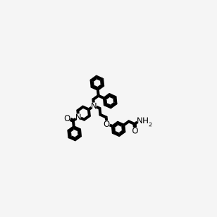 NC(=O)Cc1cccc(OCCCN(CC(c2ccccc2)c2ccccc2)C2CCN(C(=O)c3ccccc3)CC2)c1